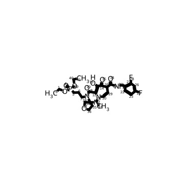 CCOP(=O)(CCCN1C(=O)C2=C(O)C(=O)C(C(=O)NCc3ccc(F)cc3F)C=CN2N(C)C12CCOC2)OCC